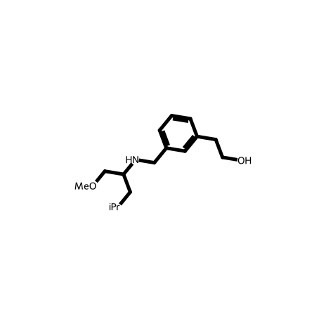 COCC(CC(C)C)NCc1cccc(CCO)c1